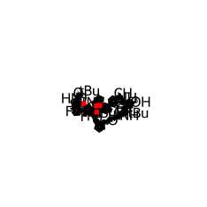 C[C@H](NC(=O)[C@@H]1C[C@@H](O)CN1C(=O)[C@@H](NC(=O)CCOCCCN1CCCC1COc1nc(N2CC3CCC(C2)N3C(=O)OC(C)(C)C)c2cc(Cl)c(-c3ccc(F)c4sc(NC(=O)OC(C)(C)C)c(C#N)c34)c(F)c2n1)C(C)(C)C)c1ccc(-c2ccccc2Cl)cc1